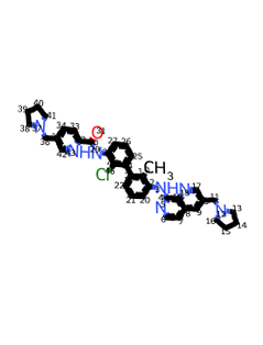 Cc1c(Nc2nccc3cc(CN4CCCC4)cnc23)cccc1-c1cccc(NC(=O)c2ccc(CN3CCCC3)cn2)c1Cl